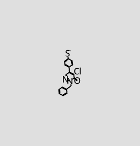 CSc1ccc(-c2cnn(Cc3ccccc3)c(=O)c2Cl)cc1